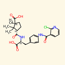 CC1(C)[C@@H](C(=O)N[C@@H](Cc2ccc(NC(=O)c3cccnc3Cl)cc2)C(=O)O)CC[C@@]1(C)C(=O)O